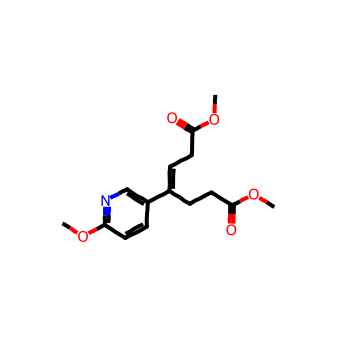 COC(=O)CC=C(CCC(=O)OC)c1ccc(OC)nc1